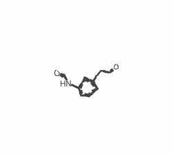 O=CCc1cccc(NC=O)c1